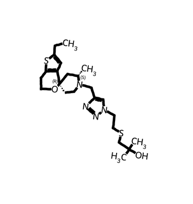 CCc1cc2c(s1)CCO[C@@]21CCN(Cc2cn(CCSCC(C)(C)O)nn2)[C@@H](C)C1